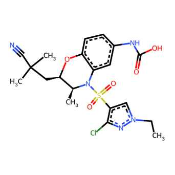 CCn1cc(S(=O)(=O)N2c3cc(NC(=O)O)ccc3O[C@H](CC(C)(C)C#N)[C@@H]2C)c(Cl)n1